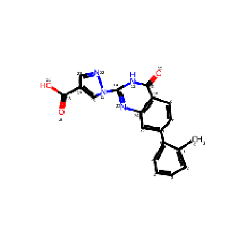 Cc1ccccc1-c1ccc2c(=O)[nH]c(-n3cc(C(=O)O)cn3)nc2c1